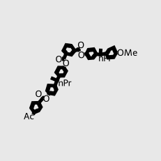 CCCC(C)(c1ccc(OC)cc1)c1ccc(OC(=O)c2cccc(C(=O)Oc3ccc(C(C)(CCC)c4ccc(OC(=O)c5ccc(C(C)=O)cc5)cc4)cc3)c2)cc1